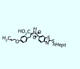 C=CCOc1ccc(C[C@@H](NS(=O)(=O)c2ccc3nc(SCCCCCCC)sc3c2)C(=O)O)cc1